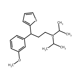 COc1cccc(C(CCN(C(C)C)C(C)C)c2cccs2)c1